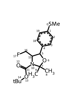 CSc1ccc(C2OC(C)(C)N(C(=O)OC(C)(C)C)C2CF)cc1